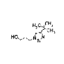 CS(C)(C)c1cn(CCCO)nn1